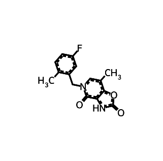 Cc1ccc(F)cc1Cn1cc(C)c2oc(=O)[nH]c2c1=O